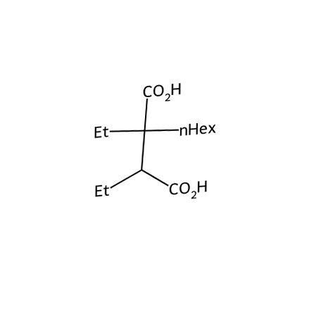 CCCCCCC(CC)(C(=O)O)C(CC)C(=O)O